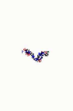 C[C@@H]1CN(CC2CN(c3ccc4c(c3)C(=O)N([C@H]3CCC(=O)NC3=O)C4)C2)C[C@H](C)N1C(=O)N1CCN2c3cc(-c4cccc(F)c4O)nnc3NC[C@@H]2C1